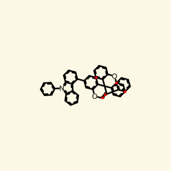 c1ccc(-c2cccc3c2C2(c4ccccc4Oc4ccccc42)c2ccc(-c4cccc5c4c4ccccc4n5-c4ccccc4)cc2O3)cc1